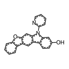 Oc1ccc2c3cc4c(cc3n(-c3ccccn3)c2c1)oc1ccccc14